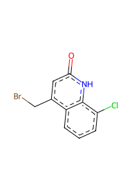 O=c1cc(CBr)c2cccc(Cl)c2[nH]1